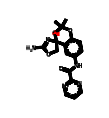 CC1(C)Oc2ccc(NC(=O)c3ncccn3)cc2C2(COC(N)=N2)C12COC2